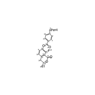 CCCCCc1ccc(C(=O)Oc2ccc3c(c2F)C(=O)OC(CC)C3)cc1